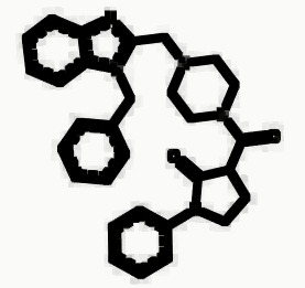 O=C(C1CCN(c2ccccc2)C1=O)N1CCN(Cc2nc3ccccc3n2Cc2ccccc2)CC1